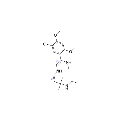 CCNC(C)(C)/C=C\N/C=C(\NC)c1cc(Cl)c(OC)cc1OC